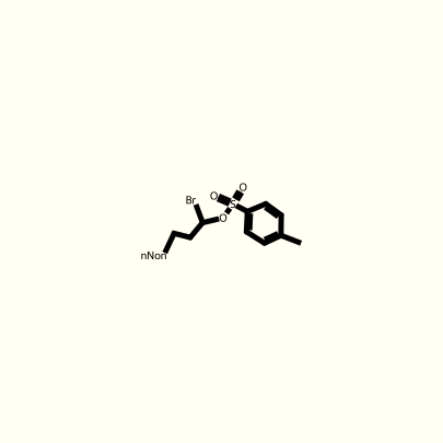 CCCCCCCCCCCC(Br)OS(=O)(=O)c1ccc(C)cc1